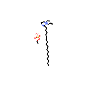 C=CC[N+]1(CC)CCN=C1CCCCCCCCCCCCCCCCC.CCOS(=O)(=O)[O-]